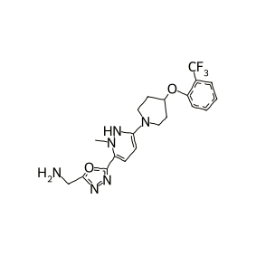 CN1NC(N2CCC(Oc3ccccc3C(F)(F)F)CC2)=CC=C1c1nnc(CN)o1